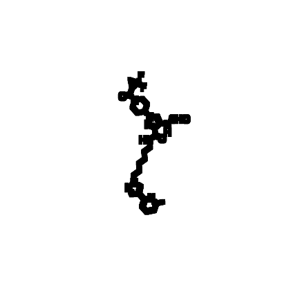 Cc1cccc(-c2cnn(CCCCCCNC(=O)c3nn(C4CCN(C(=O)C5CC5(F)F)CC4)cc3NC=O)c2)n1